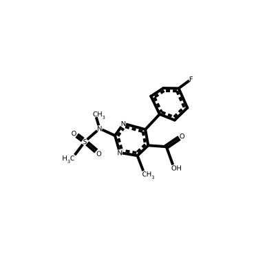 Cc1nc(N(C)S(C)(=O)=O)nc(-c2ccc(F)cc2)c1C(=O)O